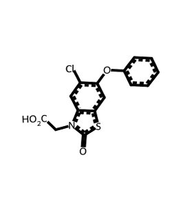 O=C(O)Cn1c(=O)sc2cc(Oc3ccccc3)c(Cl)cc21